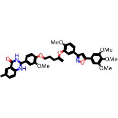 C=C(CCCOc1ccc(C2NC(=O)c3cc(C)ccc3N2)cc1OC)Oc1cc(-c2cc(-c3cc(OC)c(OC)c(OC)c3)on2)ccc1OC